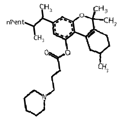 CCCCCC(C)C(C)c1cc(OC(=O)CCCN2CCCCC2)c2c(c1)OC(C)(C)C1=C2CC(C)CC1